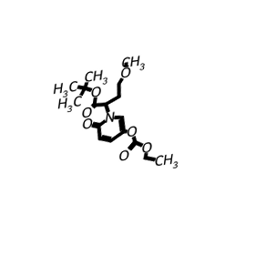 CCOC(=O)Oc1ccc(=O)n(C(CCOC)C(=O)OC(C)(C)C)c1